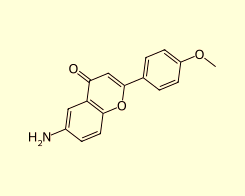 COc1ccc(-c2cc(=O)c3cc(N)ccc3o2)cc1